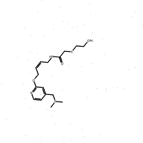 CC(=O)OCCSCC(=O)NC/C=C\COc1cc(CN(C)C)ccn1